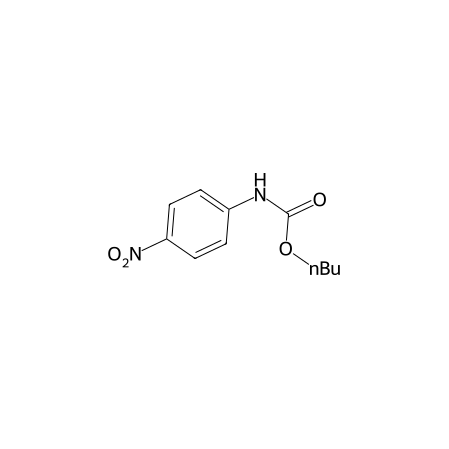 CCCCOC(=O)Nc1ccc([N+](=O)[O-])cc1